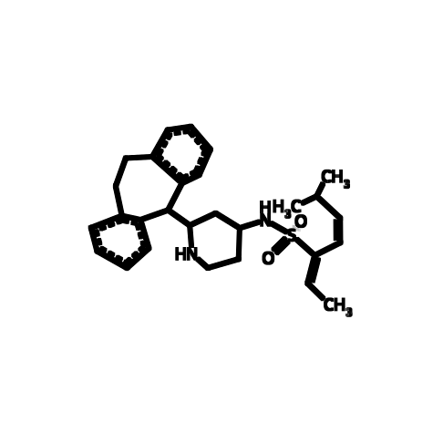 C/C=C(\C=C/C(C)C)S(=O)(=O)NC1CCNC(C2c3ccccc3CCc3ccccc32)C1